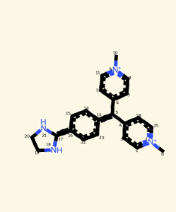 C[n+]1ccc(C(c2cc[n+](C)cc2)=c2ccc(=C3NCCN3)cc2)cc1